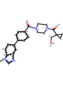 Cn1cnc2cc(-c3ccc(C(=O)N4CCN(C(=O)C5(CO)CC5)CC4)cc3)ccc21